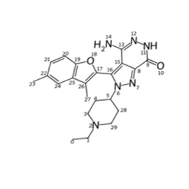 CCN1CCC(n2nc3c(=O)[nH]nc(N)c3c2-c2oc3ccc(C)cc3c2C)CC1